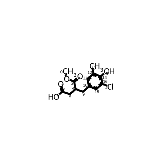 COC(=O)C(CC(=O)O)Cc1cc(C)c(O)c(Cl)c1